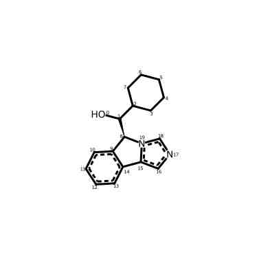 OC(C1CCCCC1)[C@@H]1c2ccccc2-c2cncn21